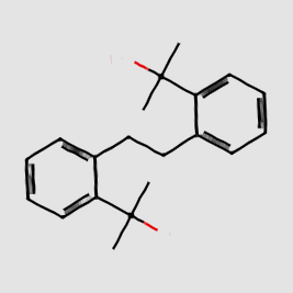 CC(C)(O)c1ccccc1CCc1ccccc1C(C)(C)O